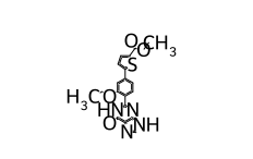 CCOc1cc(-c2ccc(C(=O)OC)s2)ccc1-c1nc2[nH]cnc2c(=O)[nH]1